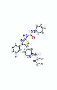 Cc1cccc(-c2nc(NC(=O)Nc3ccccc3)sc2-c2ccnc(NC3CCCC3)c2)c1